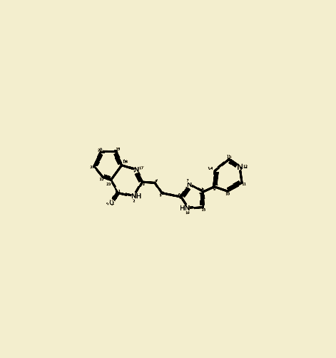 O=c1[nH]c(CCc2nc(-c3ccncc3)c[nH]2)nc2ccccc12